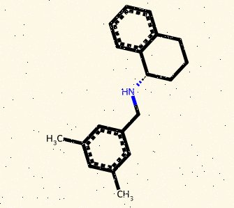 Cc1cc(C)cc(CN[C@H]2CCCc3ccccc32)c1